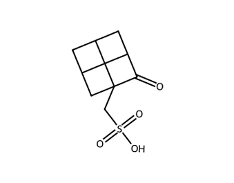 O=C1C2CC3CC4CC1(CS(=O)(=O)O)C342